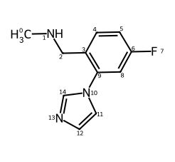 CNCc1ccc(F)cc1-n1ccnc1